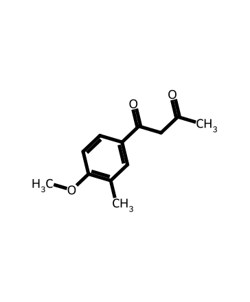 COc1ccc(C(=O)CC(C)=O)cc1C